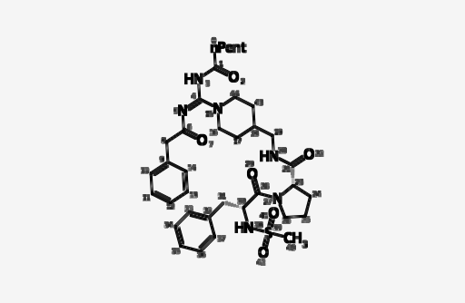 CCCCCC(=O)N/C(=N/C(=O)Cc1ccccc1)N1CCC(CNC(=O)[C@@H]2CCCN2C(=O)[C@@H](Cc2ccccc2)NS(C)(=O)=O)CC1